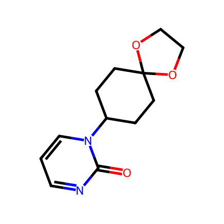 O=c1ncccn1C1CCC2(CC1)OCCO2